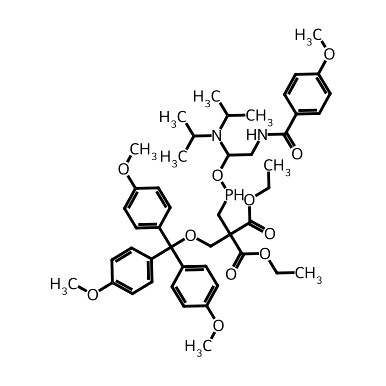 CCOC(=O)C(COC(c1ccc(OC)cc1)(c1ccc(OC)cc1)c1ccc(OC)cc1)(CPOC(CNC(=O)c1ccc(OC)cc1)N(C(C)C)C(C)C)C(=O)OCC